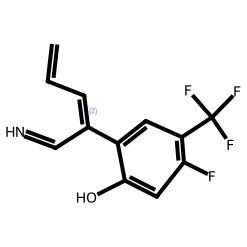 C=C/C=C(\C=N)c1cc(C(F)(F)F)c(F)cc1O